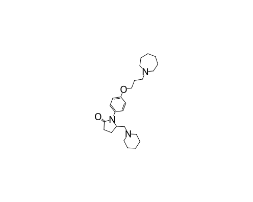 O=C1CCC(CN2CCCCC2)N1c1ccc(OCCCN2CCCCCC2)cc1